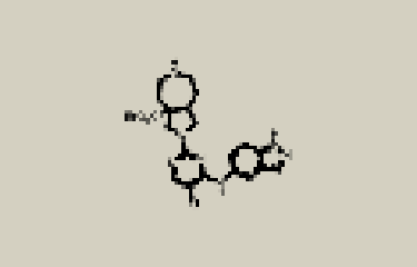 CCOC(=O)C12CCNCCC1CN(c1ncc(Cl)c(Nc3ccc4[nH]ncc4c3)n1)C2